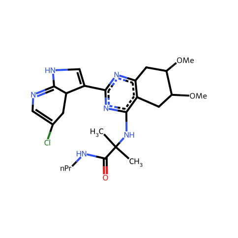 CCCNC(=O)C(C)(C)Nc1nc(C2=CNC3=NC=C(Cl)CC23)nc2c1CC(OC)C(OC)C2